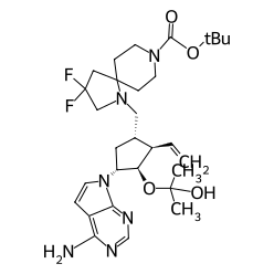 C=C[C@@H]1[C@@H](CN2CC(F)(F)CC23CCN(C(=O)OC(C)(C)C)CC3)C[C@@H](n2ccc3c(N)ncnc32)[C@@H]1OC(C)(C)O